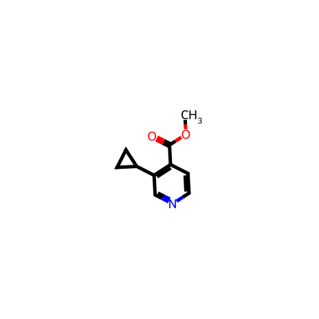 COC(=O)c1ccncc1C1CC1